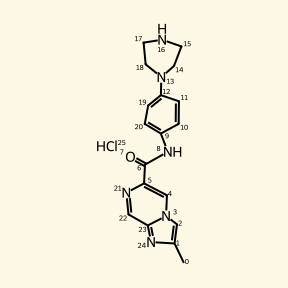 Cc1cn2cc(C(=O)Nc3ccc(N4CCNCC4)cc3)ncc2n1.Cl